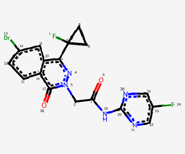 O=C(Cn1nc(C2(F)CC2)c2cc(Br)ccc2c1=O)Nc1ncc(F)cn1